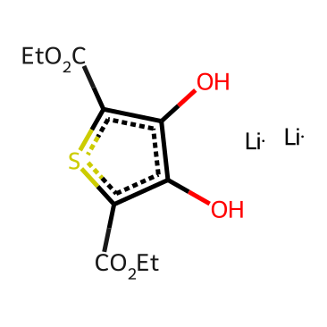 CCOC(=O)c1sc(C(=O)OCC)c(O)c1O.[Li].[Li]